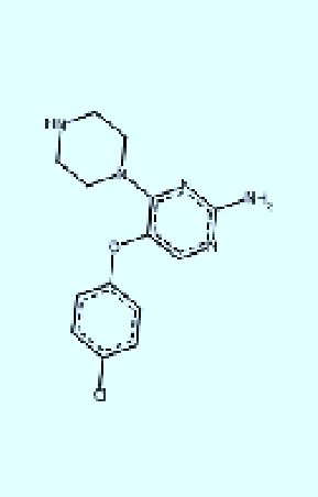 Nc1ncc(Oc2ccc(Cl)cc2)c(N2CCNCC2)n1